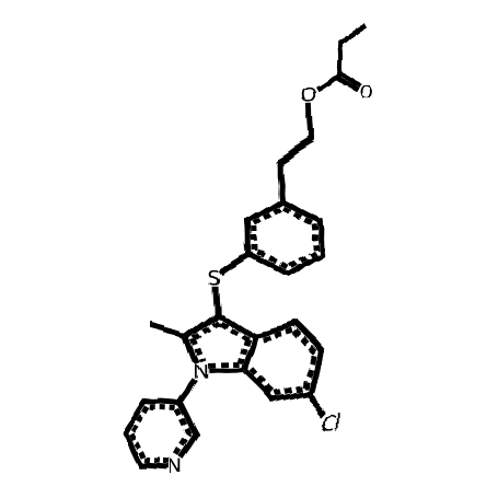 CCC(=O)OCCc1cccc(Sc2c(C)n(-c3cccnc3)c3cc(Cl)ccc23)c1